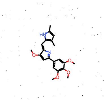 COC1=CC(c2cc(OC)c(OC)c(OC)c2)=NC1=Cc1[nH]c(C)cc1C